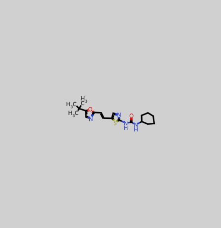 CC(C)(C)c1cnc(/C=C/c2cnc(NC(=O)NC3CCCCC3)s2)o1